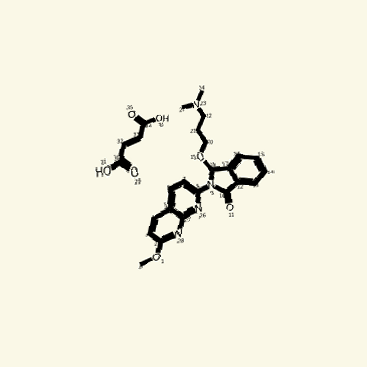 COc1ccc2ccc(N3C(=O)c4ccccc4C3OCCCN(C)C)nc2n1.O=C(O)/C=C/C(=O)O